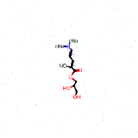 CCCCN(/C=C/C=C(\C#N)C(=O)OCC(O)CO)CCCC